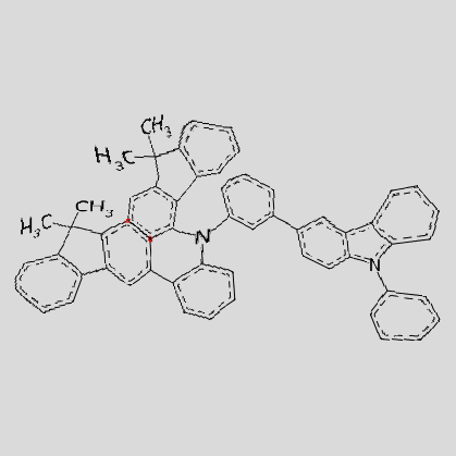 CC1(C)c2ccccc2-c2cc(-c3ccccc3N(c3cccc(-c4ccc5c(c4)c4ccccc4n5-c4ccccc4)c3)c3cccc4c3-c3ccccc3C4(C)C)ccc21